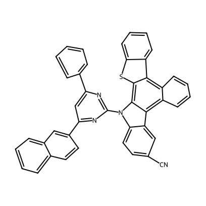 N#Cc1ccc2c(c1)c1c3ccccc3c3c4ccccc4sc3c1n2-c1nc(-c2ccccc2)cc(-c2ccc3ccccc3c2)n1